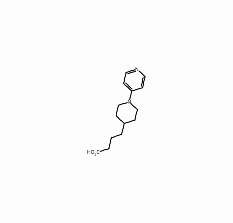 O=C(O)CCCC1CCN(c2ccncc2)CC1